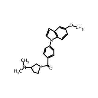 COc1ccc2c(ccn2-c2ccc(C(=O)N3CCC(N(C)C)C3)cc2)c1